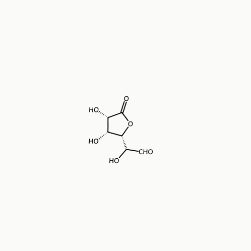 O=CC(O)[C@H]1OC(=O)[C@@H](O)[C@H]1O